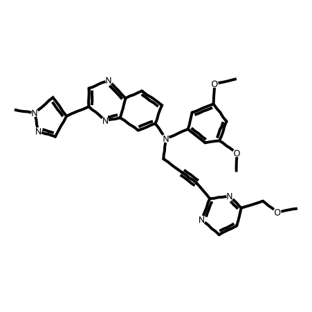 COCc1ccnc(C#CCN(c2cc(OC)cc(OC)c2)c2ccc3ncc(-c4cnn(C)c4)nc3c2)n1